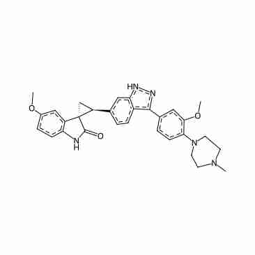 COc1ccc2c(c1)[C@]1(C[C@H]1c1ccc3c(-c4ccc(N5CCN(C)CC5)c(OC)c4)n[nH]c3c1)C(=O)N2